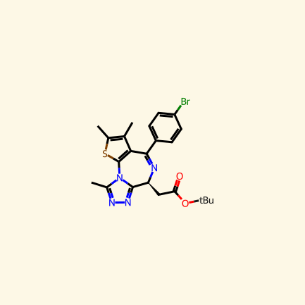 Cc1sc2c(c1C)C(c1ccc(Br)cc1)=N[C@@H](CC(=O)OC(C)(C)C)c1nnc(C)n1-2